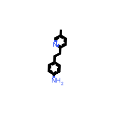 Cc1ccc(CCc2ccc(N)cc2)nc1